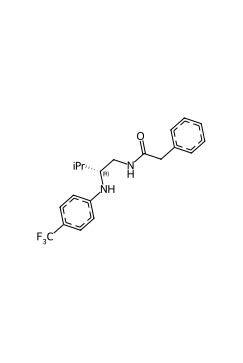 CC(C)[C@H](CNC(=O)Cc1ccccc1)Nc1ccc(C(F)(F)F)cc1